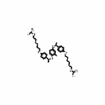 C=C(Oc1ccc(OC(=C)c2ccc(OCCCCCCOC(=O)CC)cc2)c(C)c1)c1ccc(OCCCCCCOC(=O)CC)cc1